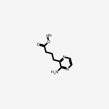 CCCOC(=O)CCCc1nccnc1N